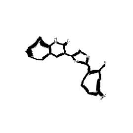 O=c1[nH]c2ccccc2cc1-c1csc(-c2ccc(F)cc2F)n1